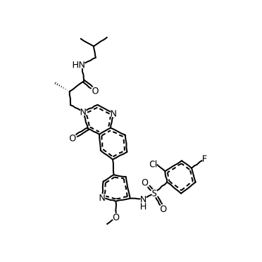 COc1ncc(-c2ccc3ncn(C[C@H](C)C(=O)NCC(C)C)c(=O)c3c2)cc1NS(=O)(=O)c1ccc(F)cc1Cl